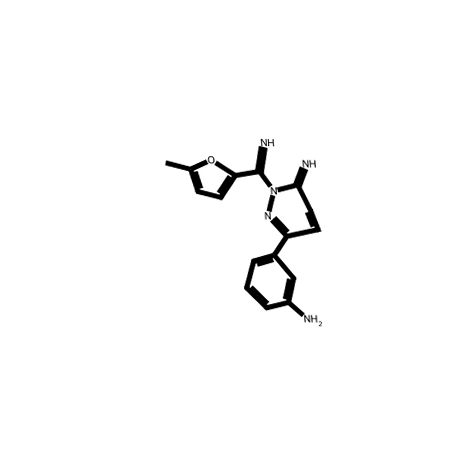 Cc1ccc(C(=N)n2nc(-c3cccc(N)c3)ccc2=N)o1